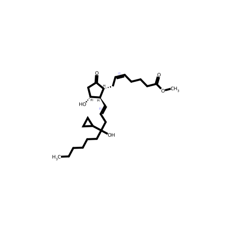 CCCCCCC(O)(C/C=C/[C@H]1[C@H](O)CC(=O)[C@@H]1C/C=C\CCCC(=O)OC)C1CC1